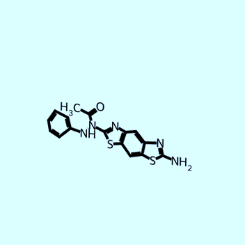 CC(=O)N(Nc1ccccc1)c1nc2cc3nc(N)sc3cc2s1